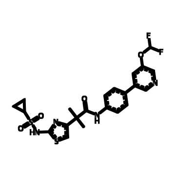 CC(C)(C(=O)Nc1ccc(-c2cncc(OC(F)F)c2)cc1)c1csc(NS(=O)(=O)C2CC2)n1